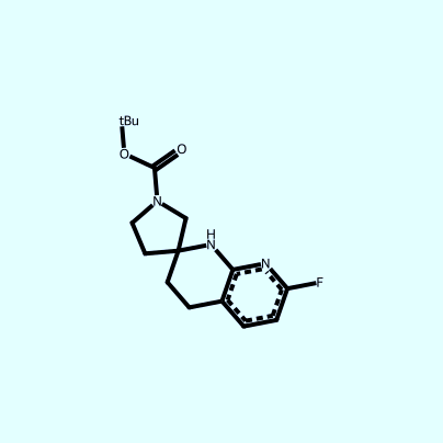 CC(C)(C)OC(=O)N1CCC2(CCc3ccc(F)nc3N2)C1